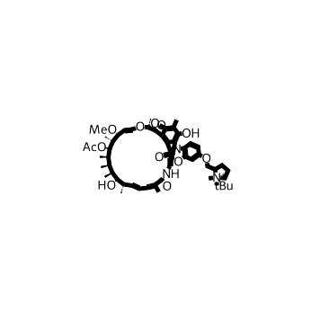 CO[C@H]1/C=C/O[C@@]2(C)Oc3c(C)c(O)c4c(=O)c(c5oc6cc(OCC7CCC[N+]7(C)C(C)(C)C)ccc6nc-5c4c3C2=O)NC(=O)/C(C)=C\C=C\[C@H](C)[C@H](O)[C@@H](C)[C@@H](C)[C@@H](C)[C@H](OC(C)=O)[C@@H]1C